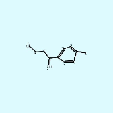 Cc1ccc(C(O)CCCl)cc1